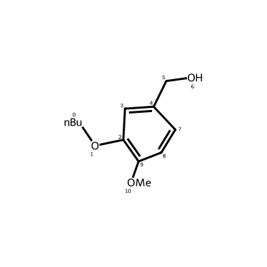 CCCCOc1cc(CO)ccc1OC